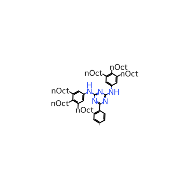 CCCCCCCCc1cc(Nc2nc(Nc3cc(CCCCCCCC)c(CCCCCCCC)c(CCCCCCCC)c3)nc(-c3cc[c]cc3)n2)cc(CCCCCCCC)c1CCCCCCCC